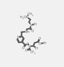 CCC(CC(=O)OC(C)C)N(OC(=O)c1ccnc(CNCC(=O)N(CC)CCN(C)C)c1)C(=O)C(F)(F)F